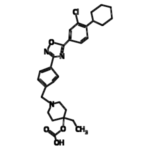 CCC1(OC(=O)O)CCN(Cc2ccc(-c3noc(-c4ccc(C5CCCCC5)c(Cl)c4)n3)cc2)CC1